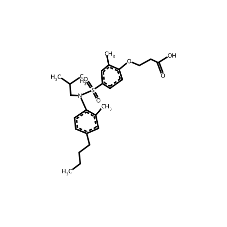 CCCCc1ccc(N(CC(C)C)S(=O)(=O)c2ccc(OCCC(=O)O)c(C)c2)c(C)c1